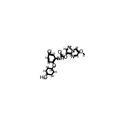 COc1cnc2c(OC(=O)Nc3cc(Cl)ccc3OC3CCC(O)CC3)cnn2c1